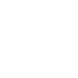 C=Cc1cccc(N(c2ccccc2)c2ccc3c(c2)C(C)(C)c2cc(N(c4ccccc4)c4cccc(C=C)c4)ccc2-3)c1